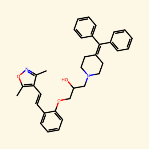 Cc1noc(C)c1C=Cc1ccccc1OCC(O)CN1CCC(=C(c2ccccc2)c2ccccc2)CC1